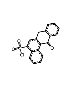 O=C1c2ccccc2Cc2cc(S(=O)(=O)Cl)c3ccccc3c21